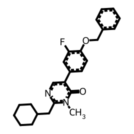 Cn1c(CC2CCCCC2)ncc(-c2ccc(OCc3ccccc3)c(F)c2)c1=O